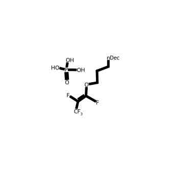 CCCCCCCCCCCCCOC(F)=C(F)C(F)(F)F.O=P(O)(O)O